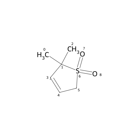 CC1(C)[C]=CCS1(=O)=O